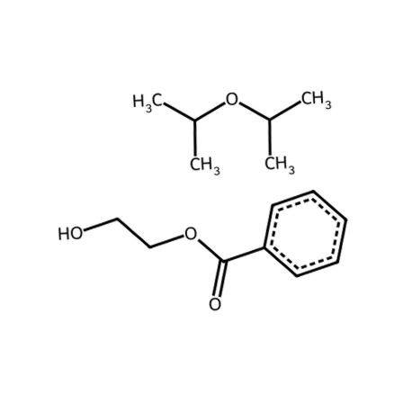 CC(C)OC(C)C.O=C(OCCO)c1ccccc1